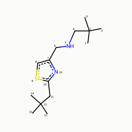 CC(C)(C)CNCc1csc(CC(C)(C)C)n1